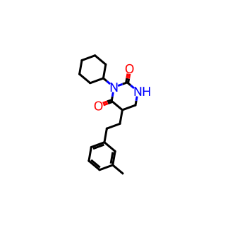 Cc1cccc(CCC2CNC(=O)N(C3CCCCC3)C2=O)c1